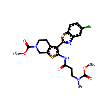 CC(C)N(CCC(=O)Nc1sc2c(c1-c1nc3cc(Br)ccc3s1)CCN(C(=O)OC(C)(C)C)C2)C(=O)OC(C)(C)C